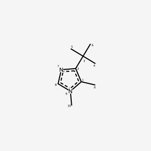 Cc1c(C(C)(C)C)ncn1C